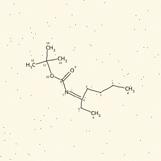 CCCC/C(CC)=N\C(=O)OC(C)(C)C